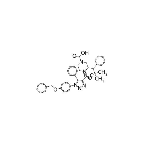 CC(C)(C)C(c1ccccc1)C1CN(C(=O)O)CCN1C(=O)c1nnn(-c2ccc(OCc3ccccc3)cc2)c1-c1ccccc1